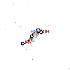 C[C@H](NCCc1ccc(OCC(=O)OCc2ccccc2)cc1Cl)[C@H](O)c1ccc(O)cc1.Cl